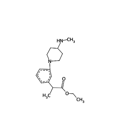 CCOC(=O)C(C)c1cccc(N2CCC(NC)CC2)c1